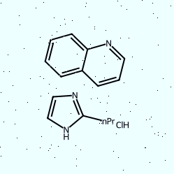 CCCc1ncc[nH]1.Cl.c1ccc2ncccc2c1